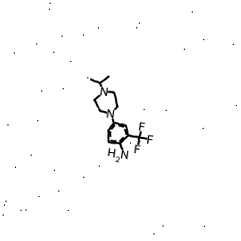 CC(C)N1CCN(c2ccc(N)c(C(F)(F)F)c2)CC1